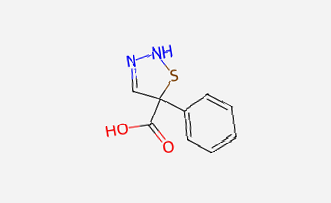 O=C(O)C1(c2ccccc2)C=NNS1